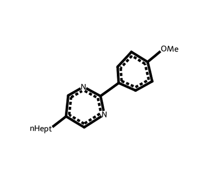 CCCCCCCc1cnc(-c2ccc(OC)cc2)nc1